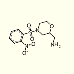 NCC1CN(S(=O)(=O)c2ccccc2[N+](=O)[O-])CCO1